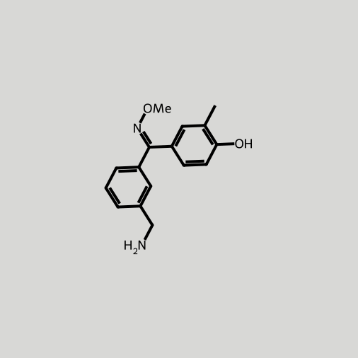 CON=C(c1cccc(CN)c1)c1ccc(O)c(C)c1